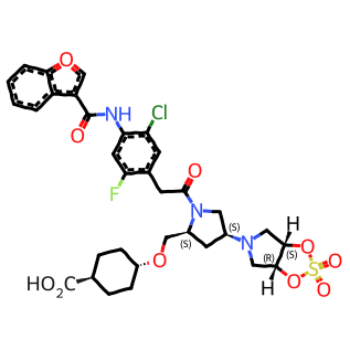 O=C(Nc1cc(F)c(CC(=O)N2C[C@@H](N3C[C@@H]4OS(=O)(=O)O[C@@H]4C3)C[C@H]2CO[C@H]2CC[C@H](C(=O)O)CC2)cc1Cl)c1coc2ccccc12